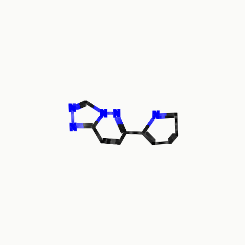 c1ccc(-c2ccc3nncn3n2)nc1